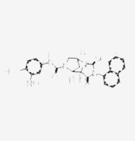 Cc1ccc(NC(=O)N2C[C@@H]3C[C@H]2[C@H]2C(=O)N(c4cccc5ccccc45)C(=O)N32)cc1[N+](=O)[O-]